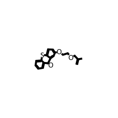 C=C(C)COCCOc1ccc2sc3ccccc3c(=O)c2c1